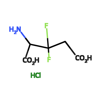 Cl.NC(C(=O)O)C(F)(F)CC(=O)O